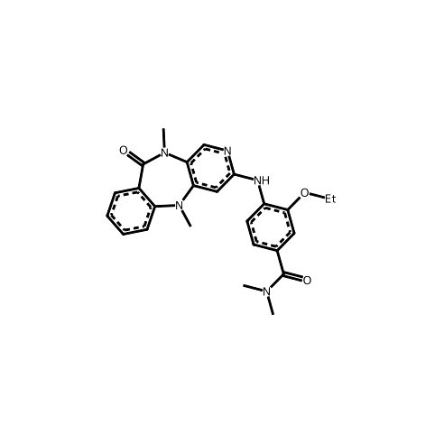 CCOc1cc(C(=O)N(C)C)ccc1Nc1cc2c(cn1)N(C)C(=O)c1ccccc1N2C